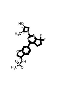 C[C@H]1[C@H](O)CN1c1nc(-c2ccc3c(c2)OC[C@@H]3NS(C)(=O)=O)c2c(n1)C(F)(F)CC2